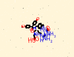 COc1ccc(C(C(=O)N(Cc2ccc(CNC(N)=O)cc2)[C@H](CCCNC(=N)N)C(=O)NCC(=O)O)c2ccc(OC)cc2)cc1